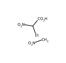 CCC(C(=O)O)[N+](=O)[O-].C[N+](=O)[O-]